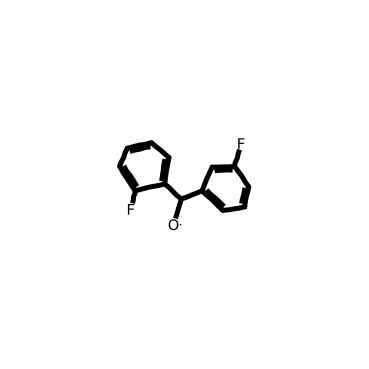 [O]C(c1cccc(F)c1)c1ccccc1F